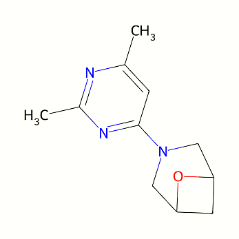 Cc1cc(N2CC3CC(C2)O3)nc(C)n1